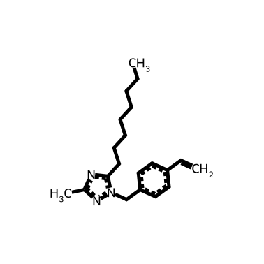 C=Cc1ccc(Cn2nc(C)nc2CCCCCCCC)cc1